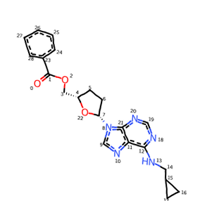 O=C(OC[C@@H]1CC[C@H](n2cnc3c(NCC4CC4)ncnc32)O1)c1ccccc1